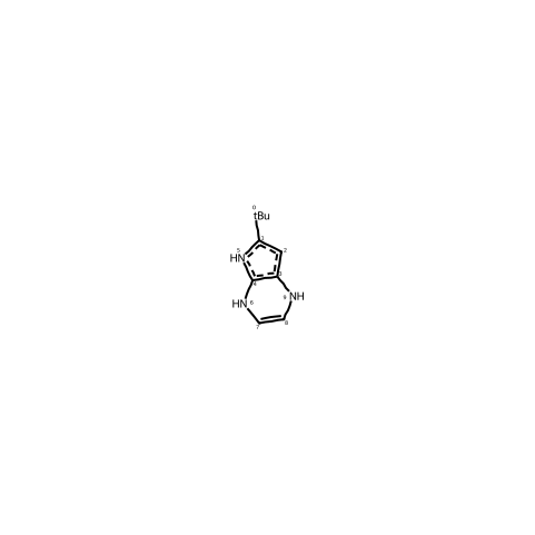 CC(C)(C)c1cc2c([nH]1)NC=CN2